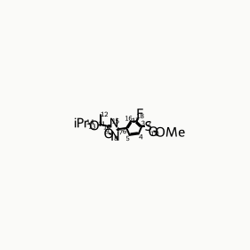 COOSc1ccc(-c2noc(C(C)OC(C)C)n2)cc1F